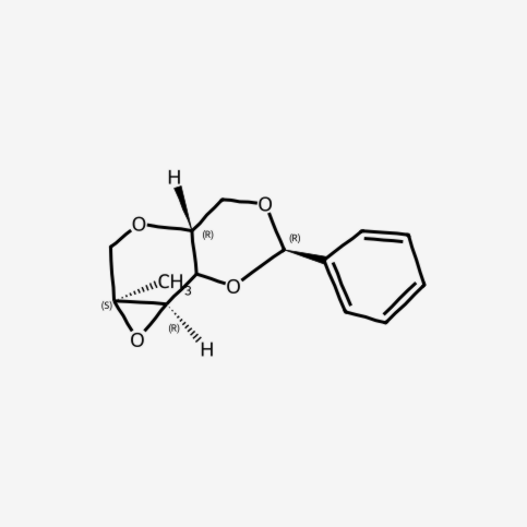 C[C@]12CO[C@@H]3CO[C@@H](c4ccccc4)OC3[C@H]1O2